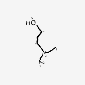 [CH2]C(=O)N(C)CCO